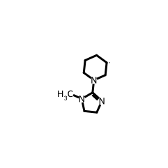 CN1CCN=C1N1C[CH]CCC1